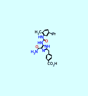 Cc1ccc(C(C)C)cc1NC(=O)Nc1[nH]c(Cc2ccc(C(=O)O)cc2)nc1C(N)=O